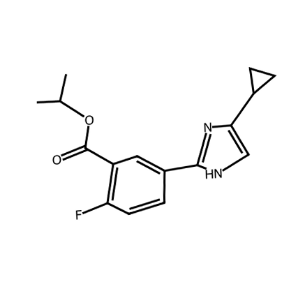 CC(C)OC(=O)c1cc(-c2nc(C3CC3)c[nH]2)ccc1F